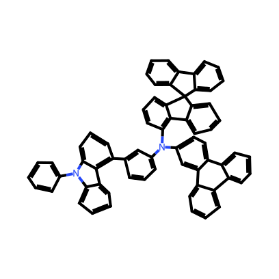 c1ccc(-n2c3ccccc3c3c(-c4cccc(N(c5ccc6c7ccccc7c7ccccc7c6c5)c5cccc6c5-c5ccccc5C65c6ccccc6-c6ccccc65)c4)cccc32)cc1